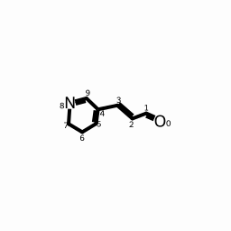 O=C/C=C/C1=CCCN=C1